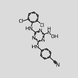 N#Cc1ccc(Nc2nc(NO)nc(Nc3c(Cl)cccc3Cl)n2)cc1